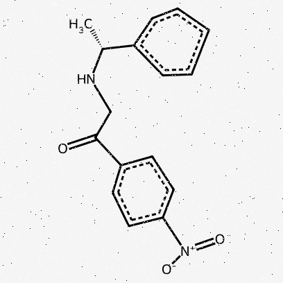 C[C@@H](NCC(=O)c1ccc([N+](=O)[O-])cc1)c1ccccc1